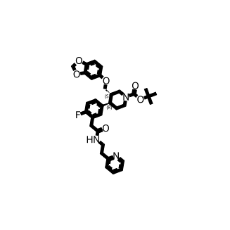 CC(C)(C)OC(=O)N1CC[C@@H](c2ccc(F)c(CC(=O)NCCc3ccccn3)c2)[C@H](COc2ccc3c(c2)OCO3)C1